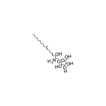 CCCCCCCCC/C(C)=C/CC/C=C/C(O)C(N)CO[C@@H]1OC(CO)[C@H](O)C(O)C1O